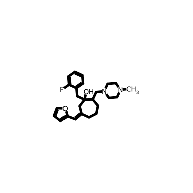 CN1CCN(CC2CCC/C(=C/c3ccco3)CC2(O)Cc2ccccc2F)CC1